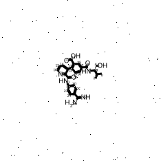 CC(C)[C@@H](CO)NC(=O)c1ccc(-c2cccnc2C(=O)Nc2ccc(C(=N)N)cc2)c(C(=O)O)c1